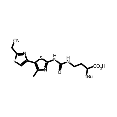 Cc1nc(NC(=O)NCCC(C(=O)O)C(C)(C)C)sc1-c1csc(CC#N)n1